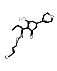 CCC(=NOC/C=C/Cl)C1=C(O)CC(C2=CCOCC2)CC1=O